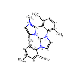 Cc1ccc(C)c2c1-c1n(cc[n+]1C)B1N(c3c(C(C)(C)C)cc(C(C)(C)C)cc3C(C)(C)C)C=CN12